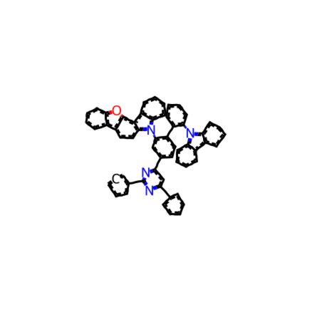 c1ccc(-c2cc(-c3ccc(-c4ccccc4-n4c5ccccc5c5ccccc54)c(-n4c5ccccc5c5c6oc7ccccc7c6ccc54)c3)nc(-c3ccccc3)n2)cc1